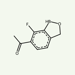 CC(=O)c1ccc2c(c1F)BOC2